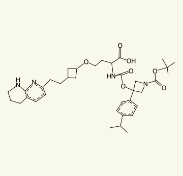 CC(C)c1ccc(C2(OC(=O)NC(CCOC3CC(CCc4ccc5c(n4)NCCC5)C3)C(=O)O)CN(C(=O)OC(C)(C)C)C2)cc1